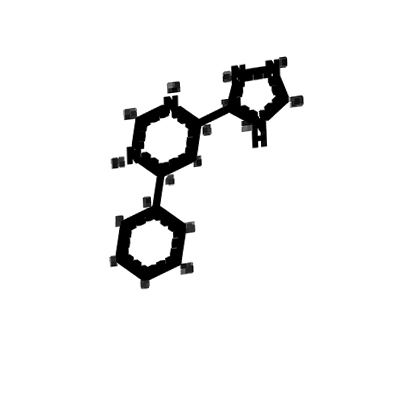 c1ccc(-c2cc(-c3nnc[nH]3)ncn2)cc1